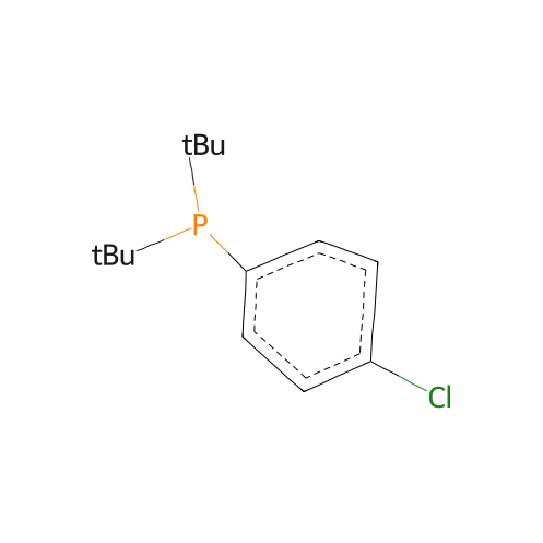 CC(C)(C)P(c1ccc(Cl)cc1)C(C)(C)C